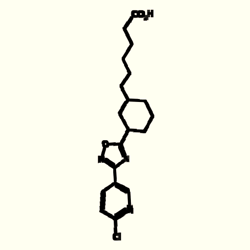 O=C(O)CCCCCC1CCCC(c2nc(-c3ccc(Cl)nc3)no2)C1